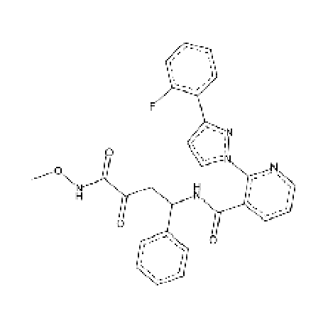 CONC(=O)C(=O)CC(NC(=O)c1cccnc1-n1ccc(-c2ccccc2F)n1)c1ccccc1